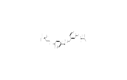 CCC(=O)Nc1cc(CNC(=O)c2ccc(OCCC(F)(F)F)nc2)ccn1